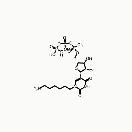 NCCCCCCn1cc([C@@H]2O[C@H](COP(=O)(O)OP(=O)(O)OP(=O)(O)O)[C@@H](O)[C@H]2O)c(=O)[nH]c1=O